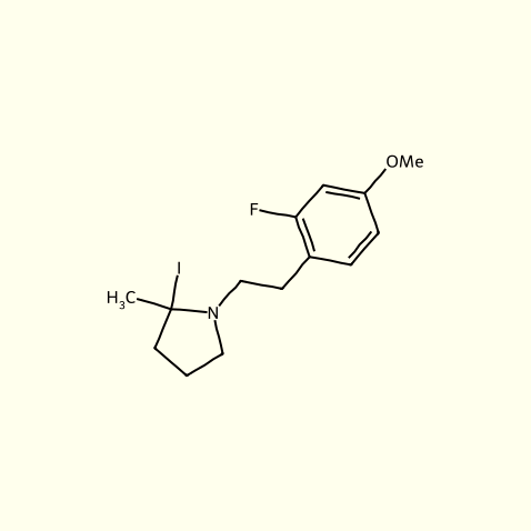 COc1ccc(CCN2CCCC2(C)I)c(F)c1